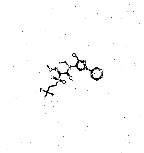 CCN(C(=O)C(=NOC)S(=O)(=O)CCC(F)(F)F)c1cn(-c2cccnc2)nc1Cl